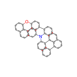 c1ccc(-c2cccc3cccc(-c4ccccc4N(c4ccccc4)c4ccccc4-c4ccc5c(c4)-c4cccc6cccc(c46)O5)c23)cc1